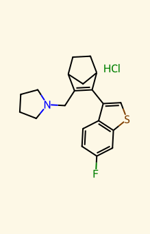 Cl.Fc1ccc2c(C3=C(CN4CCCC4)C4CCC3C4)csc2c1